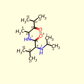 CC(C)N[C@H](C(=O)NC(C)C(=O)C(C)C)C(C)C